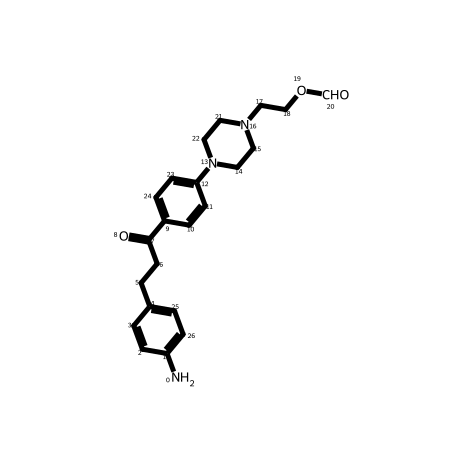 Nc1ccc(CCC(=O)c2ccc(N3CCN(CCOC=O)CC3)cc2)cc1